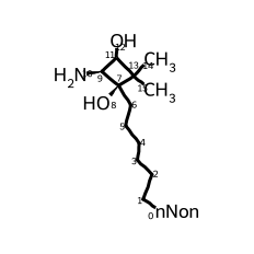 CCCCCCCCCCCCCCC[C@]1(O)[C@@H](N)C(O)C1(C)C